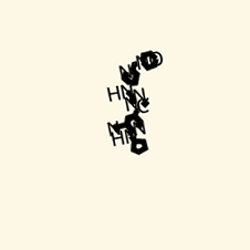 N#Cc1cc(-c2ccnc(Nc3ccc(CN4CCOCC4)nc3)n2)cnc1NC1CCCC1